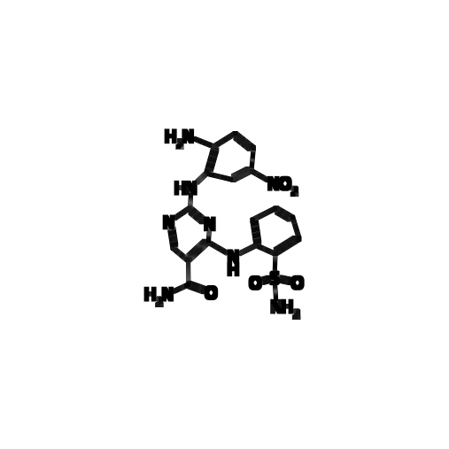 NC(=O)c1cnc(Nc2cc([N+](=O)[O-])ccc2N)nc1Nc1ccccc1S(N)(=O)=O